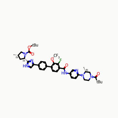 C[C@H]1C[C@@H](c2nc(-c3ccc(-c4ccc(C(=O)Nc5ccc(N6CCN(C(=O)C(C)(C)C)C[C@H]6C)nc5)c(F)c4OC(F)(F)F)cc3)c[nH]2)N(C(=O)OC(C)(C)C)C1